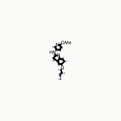 COc1ccc(Nc2ccc3cc(OC/C=C/I)ccc3n2)cn1